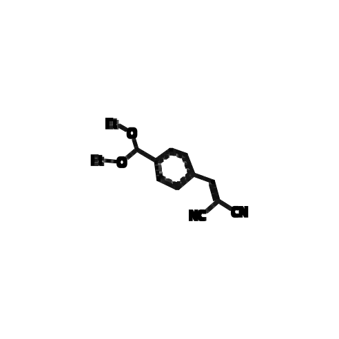 CCOC(OCC)c1ccc(C=C(C#N)C#N)cc1